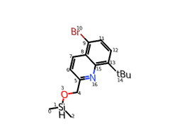 C[SiH](C)OCc1ccc2c(Br)ccc(C(C)(C)C)c2n1